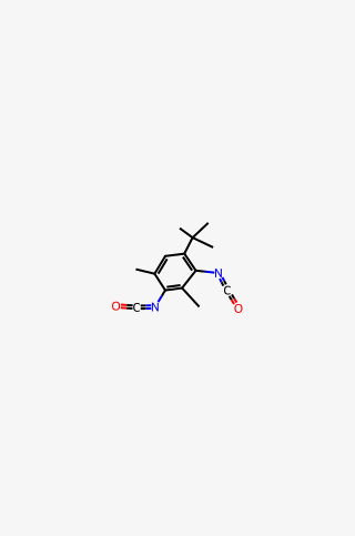 Cc1cc(C(C)(C)C)c(N=C=O)c(C)c1N=C=O